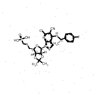 C[C@H](Nc1c(C#N)c(Cl)nc2c1cnn2[C@@H]1O[C@H](CSCP(=O)(O)O)[C@H]2OC(C)(C)O[C@H]21)c1ccc(F)cc1